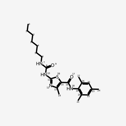 CCCCCCCNC(=O)Nc1nc(C)c(C(=O)Nc2c(C)cc(C)cc2C)s1